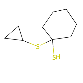 SC1(SC2CC2)CCCCC1